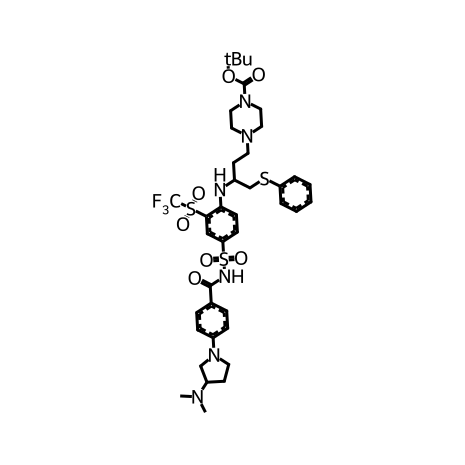 CN(C)C1CCN(c2ccc(C(=O)NS(=O)(=O)c3ccc(NC(CCN4CCN(C(=O)OC(C)(C)C)CC4)CSc4ccccc4)c(S(=O)(=O)C(F)(F)F)c3)cc2)C1